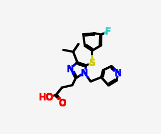 CC(C)c1nc(CCC(=O)O)n(Cc2ccncc2)c1Sc1cccc(F)c1